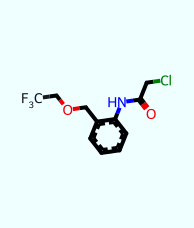 O=C(CCl)Nc1ccccc1COCC(F)(F)F